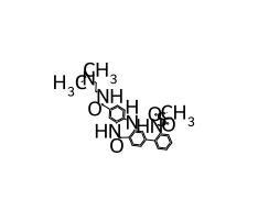 CN(C)CCNC(=O)c1ccc2c(c1)NC(=O)c1ccc(-c3ccccc3NS(C)(=O)=O)cc1N2